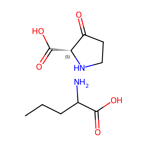 CCCC(N)C(=O)O.O=C(O)[C@H]1NCCC1=O